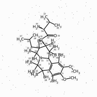 Bc1c(OC)c(OC)c(B)c2c1C1N(C(B)(B)C2(B)B)C(B)(B)C(B)(CC(C)C)C(B)(OC(=O)[C@@H](N)C(C)C)C1(B)B